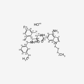 CCCCn1ccc2c(N)cc(C(=O)N[C@@H](Cc3cc(F)cc(F)c3)[C@@H](O)CNCc3cccc(CC)c3)cc21.Cl